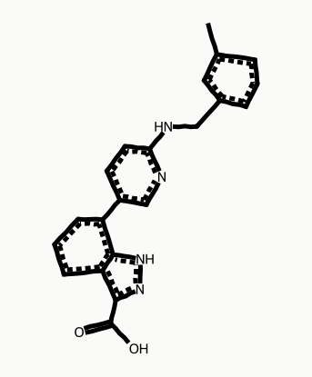 Cc1cccc(CNc2ccc(-c3cccc4c(C(=O)O)n[nH]c34)cn2)c1